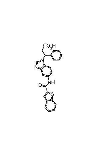 O=C(O)CC(c1ccccc1)n1cnc2cc(NC(=O)c3cc4ccccc4s3)ccc21